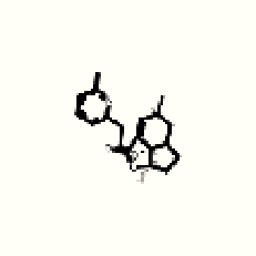 Cc1cccc(CCO[C@]23C4=C[C@@H](C)CC2CC[C@H]3OC4=O)n1